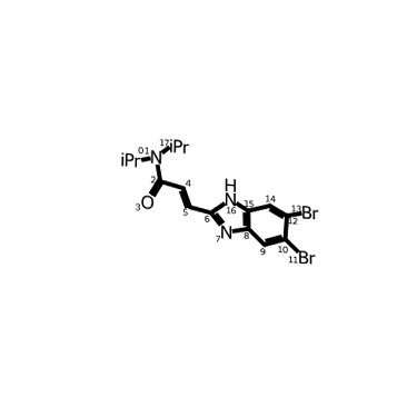 CC(C)N(C(=O)C=Cc1nc2cc(Br)c(Br)cc2[nH]1)C(C)C